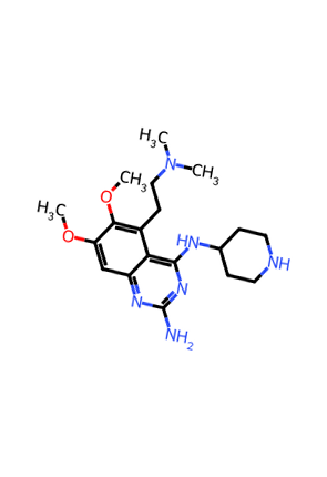 COc1cc2nc(N)nc(NC3CCNCC3)c2c(CCN(C)C)c1OC